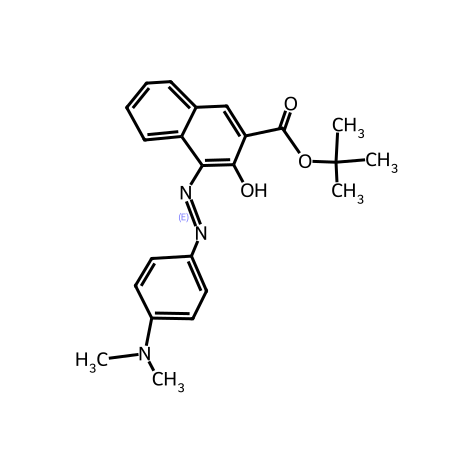 CN(C)c1ccc(/N=N/c2c(O)c(C(=O)OC(C)(C)C)cc3ccccc23)cc1